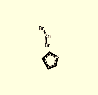 [Br][Zn][Br].[c]1cccs1